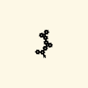 N#Cc1cc(-c2ccccc2)cc(-c2ccc(-n3c4ccccc4c4cc(-c5ccc6c(c5)c5ccccc5n6-c5ccccc5)ccc43)cc2)c1